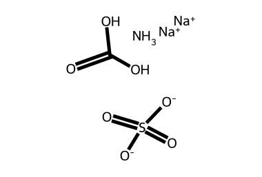 N.O=C(O)O.O=S(=O)([O-])[O-].[Na+].[Na+]